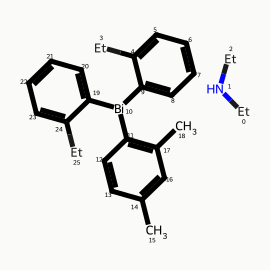 CCNCC.CCc1cccc[c]1[Bi]([c]1ccc(C)cc1C)[c]1ccccc1CC